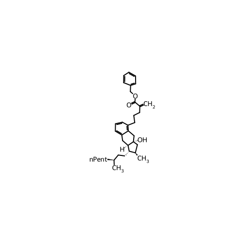 C=C(CCCc1cccc2c1C[C@@]1(O)C[C@@H](C)[C@H](CC[C@@H](C)CCCCC)[C@H]1C2)C(=O)OCc1ccccc1